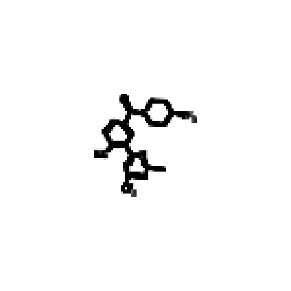 Cc1cc(C(F)(F)F)nc(-c2cc(C(=O)N3CCC(C(F)(F)F)CC3)ccc2C#N)n1